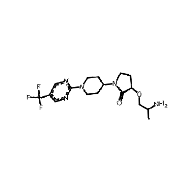 CC(N)COC1CCN(C2CCN(c3ncc(C(F)(F)F)cn3)CC2)C1=O